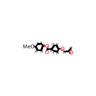 COc1ccc(OC(=O)c2ccc(OCC3CO3)cc2)cc1